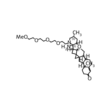 COCCOCCOCCOCCN1C[C@@H](C)C[C@H]2O[C@@]34CC[C@H]5[C@@H]6CCC7=CC(=O)CC[C@]7(C)[C@H]6CC56CC63C[C@@H]4[C@@]21N